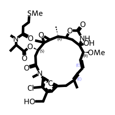 CO[C@@H]1/C=C/C=C(\C)Cc2cc(CO)c(Cl)c(c2)N(C)C(=O)C[C@H](OC(=O)C(C)N(C)C(=O)CCSC)C2(C)OC2[C@H](C)C2CC1(O)NC(=O)O2